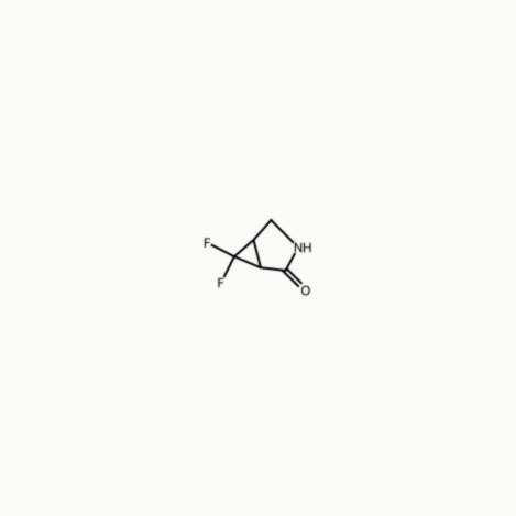 O=C1NCC2C1C2(F)F